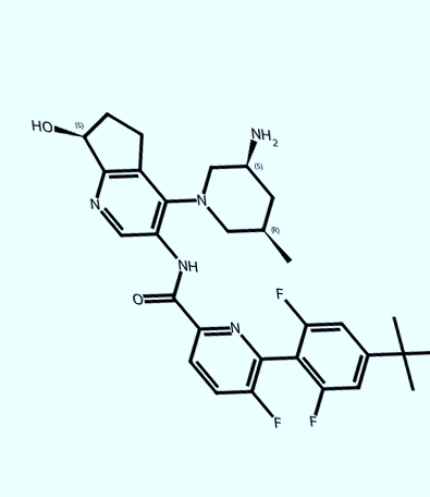 C[C@@H]1C[C@H](N)CN(c2c(NC(=O)c3ccc(F)c(-c4c(F)cc(C(C)(C)O)cc4F)n3)cnc3c2CC[C@@H]3O)C1